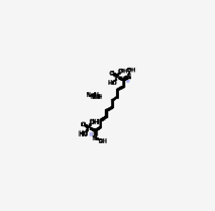 O=P(O)(O)/C(CCCCCCCCC/C(=N\O)P(=O)(O)O)=N\O.[NaH].[NaH]